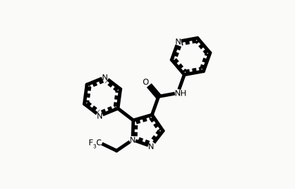 O=C(Nc1cccnc1)c1cnn(CC(F)(F)F)c1-c1cnccn1